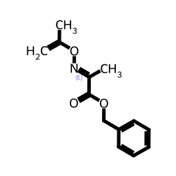 C=C(C)O/N=C(\C)C(=O)OCc1ccccc1